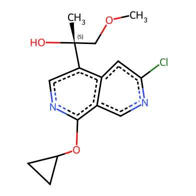 COC[C@@](C)(O)c1cnc(OC2CC2)c2cnc(Cl)cc12